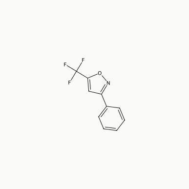 FC(F)(F)c1cc(-c2ccccc2)no1